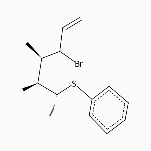 C=CC(Br)[C@H](C)[C@H](C)[C@@H](C)Sc1ccccc1